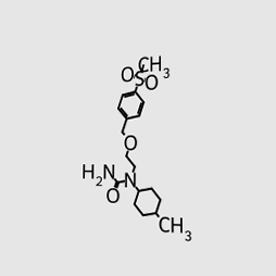 CC1CCC(N(CCOCc2ccc(S(C)(=O)=O)cc2)C(N)=O)CC1